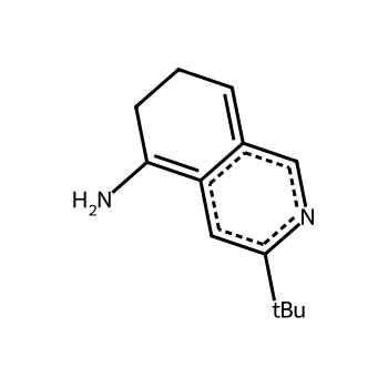 CC(C)(C)c1cc2c(cn1)=CCCC=2N